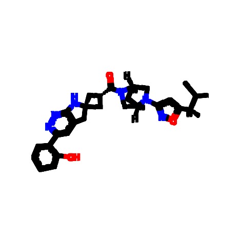 CC(C)[C@@H](C)c1cc(N2C[C@@H]3C[C@H]2CN3C(=O)[C@H]2C[C@]3(Cc4cc(-c5ccccc5O)nnc4N3)C2)no1